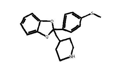 CSc1ccc(C2(C3CCNCC3)Oc3ccccc3O2)cc1